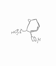 O=C(O)C1=CCOC1C(=O)O